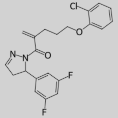 C=C(CCCOc1ccccc1Cl)C(=O)N1N=CCC1c1cc(F)cc(F)c1